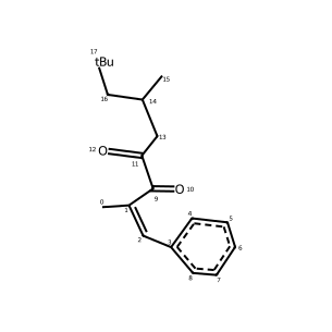 CC(=Cc1ccccc1)C(=O)C(=O)CC(C)CC(C)(C)C